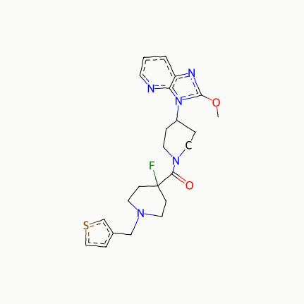 COc1nc2cccnc2n1C1CCN(C(=O)C2(F)CCN(Cc3ccsc3)CC2)CC1